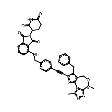 Cc1nnc2n1-c1sc(C#Cc3ccc(CNc4cccc5c4C(=O)N(C4CCC(=O)NC4=O)C5=O)nc3)c(Cc3ccccc3)c1CO[C@H]2C